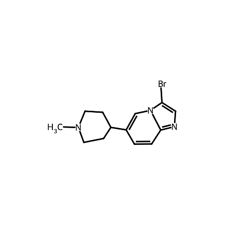 CN1CCC(c2ccc3ncc(Br)n3c2)CC1